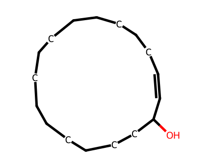 OC1C=CCCCCCCCCCCCCCC1